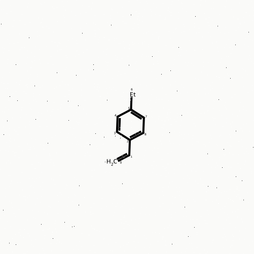 C=Cc1c[c]c(CC)cc1